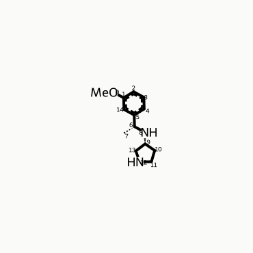 COc1cccc([C@@H](C)N[C@@H]2CCNC2)c1